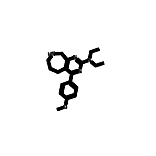 CCN(CC)c1nc2c(c(-c3ccc(OC)cc3)n1)CCCNC2